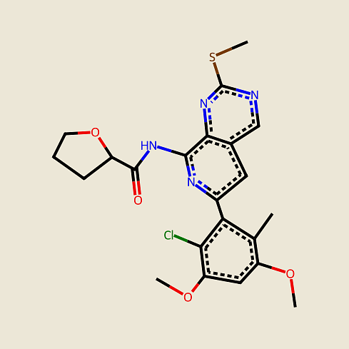 COc1cc(OC)c(Cl)c(-c2cc3cnc(SC)nc3c(NC(=O)C3CCCO3)n2)c1C